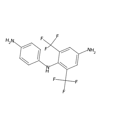 Nc1ccc(Nc2c(C(F)(F)F)cc(N)cc2C(F)(F)F)cc1